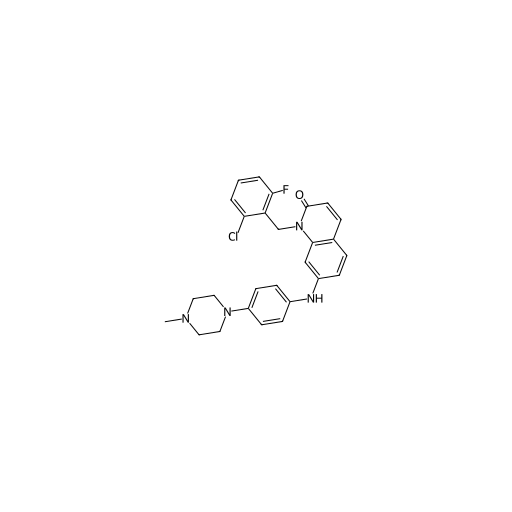 CN1CCN(c2ccc(Nc3ccc4ccc(=O)n(Cc5c(F)cccc5Cl)c4c3)cc2)CC1